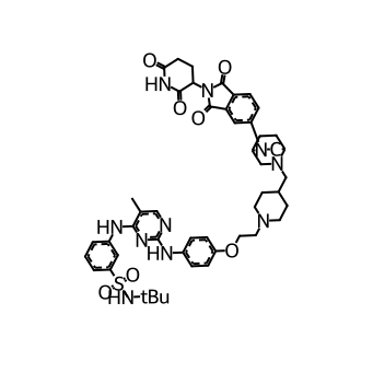 Cc1cnc(Nc2ccc(OCCN3CCC(CN4CC5CCC4CN5c4ccc5c(c4)C(=O)N(C4CCC(=O)NC4=O)C5=O)CC3)cc2)nc1Nc1cccc(S(=O)(=O)NC(C)(C)C)c1